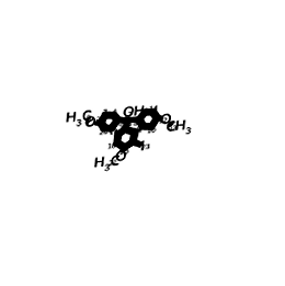 COc1ccc(C(O)(c2ccc(OC)cc2)c2ccc(OC)c(I)c2)cc1